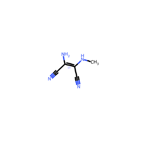 CN/C(C#N)=C(\N)C#N